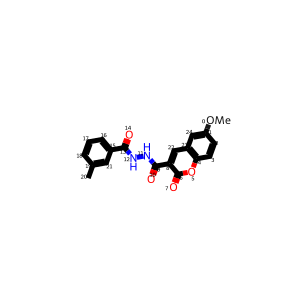 COc1ccc2oc(=O)c(C(=O)NNC(=O)c3cccc(C)c3)cc2c1